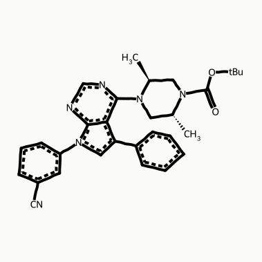 C[C@@H]1CN(c2ncnc3c2c(-c2ccccc2)cn3-c2cccc(C#N)c2)[C@@H](C)CN1C(=O)OC(C)(C)C